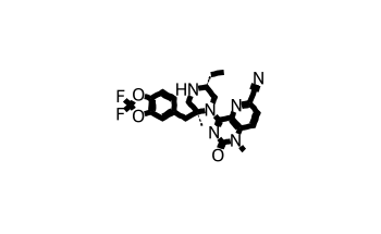 CC[C@@H]1CN(c2nc(=O)n(C)c3ccc(C#N)nc23)[C@@](C)(Cc2ccc3c(c2)OC(F)(F)O3)CN1